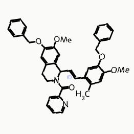 COc1cc(C)c(/C=C/C2c3cc(OC)c(OCc4ccccc4)cc3CCN2C(=O)c2ccccn2)cc1OCc1ccccc1